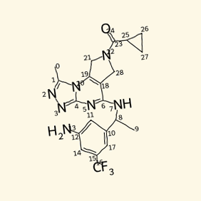 Cc1nnc2nc(NC(C)c3cc(N)cc(C(F)(F)F)c3)c3c(n12)CN(C(=O)C1CC1)C3